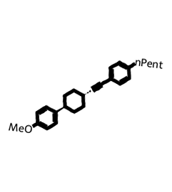 CCCCCc1ccc(C#C[C@H]2CC[C@H](c3ccc(OC)cc3)CC2)cc1